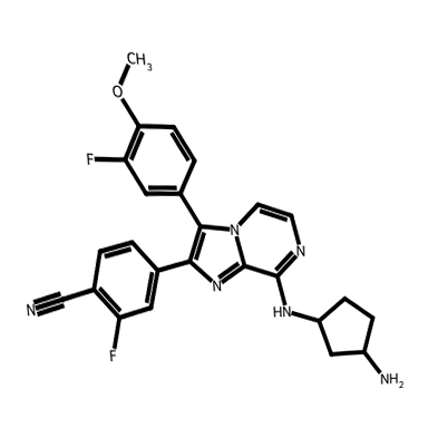 COc1ccc(-c2c(-c3ccc(C#N)c(F)c3)nc3c(NC4CCC(N)C4)nccn23)cc1F